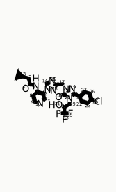 O=C(CC1CC1)Nc1ccncc1-n1cnc(Cn2nc(-c3ccc(Cl)cc3)n(CC(O)C(F)(F)F)c2=O)n1